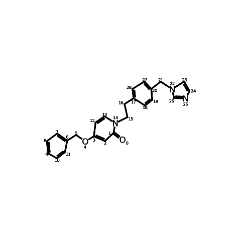 O=c1cc(OCc2ccccc2)ccn1CCc1ccc(Cn2ccnc2)cc1